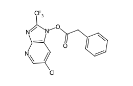 O=C(Cc1ccccc1)On1c(C(F)(F)F)nc2ncc(Cl)cc21